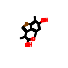 Cc1c(O)cc(C)c2c(C(C)C(=O)O)csc12